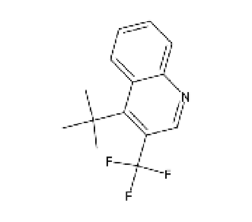 CC(C)(C)c1c(C(F)(F)F)cnc2ccccc12